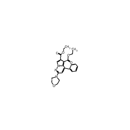 CCOC(=O)c1cn2nc(N3CCOCC3)cc(-c3ccccc3)c2c1C(=O)OCC